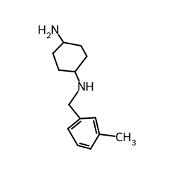 Cc1cccc(CNC2CCC(N)CC2)c1